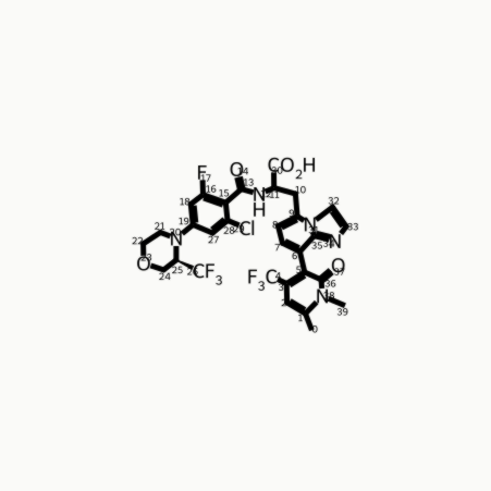 Cc1cc(C(F)(F)F)c(-c2ccc(CC(NC(=O)c3c(F)cc(N4CCOC[C@@H]4C(F)(F)F)cc3Cl)C(=O)O)n3ccnc23)c(=O)n1C